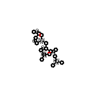 c1ccc(-c2nc(-c3ccccc3)nc(-c3ccc(-n4c5ccccc5c5cc(-c6cc(-c7cccc(-c8nc(-c9ccccc9)nc(-c9cccc%10oc%11ccc(-c%12cccc%13oc%14ccccc%14c%12%13)cc%11c9%10)n8)c7)c7oc8cccc(-c9nc(-c%10ccccc%10)nc(-c%10ccccc%10)n9)c8c7c6)ccc54)cc3)n2)cc1